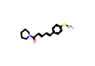 CSc1ccc(/C=C/C=C/C(=O)N2CCCCC2)cc1